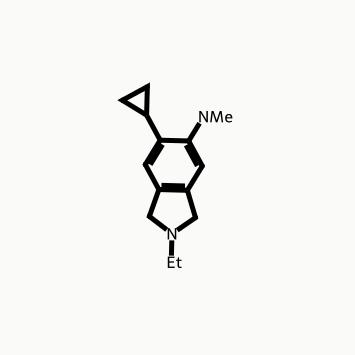 CCN1Cc2cc(NC)c(C3CC3)cc2C1